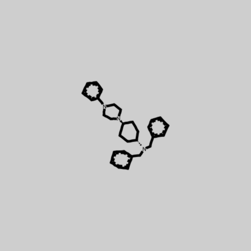 c1ccc(CN(Cc2ccccc2)[C@H]2CC[C@H](N3CCN(c4ccccc4)CC3)CC2)cc1